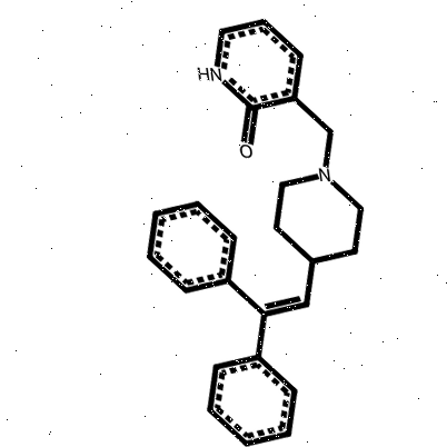 O=c1[nH]cccc1CN1CCC(C=C(c2ccccc2)c2ccccc2)CC1